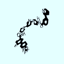 O=C(NC1CCN(Cc2ccc(N3CCC(NC(=O)c4cccc(-c5cccnc5)c4)CC3)nc2)CC1)c1ccc(F)c(-c2ccc(OC(F)(F)F)cc2)c1